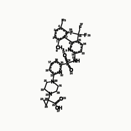 Cc1ccc(F)cc1-c1nc(NS(=O)(=O)c2cccc(N3CCN(C4(C(=O)O)CC4)CC3)n2)ccc1C(F)(F)F